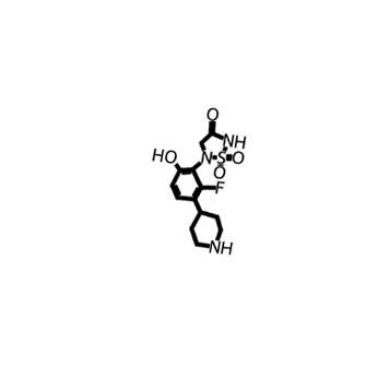 O=C1CN(c2c(O)ccc(C3CCNCC3)c2F)S(=O)(=O)N1